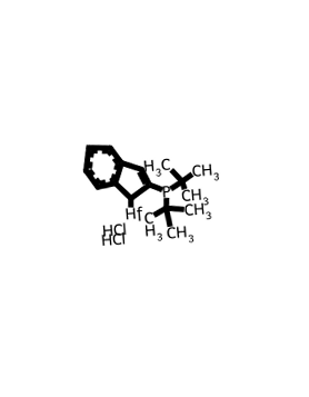 CC(C)(C)P(C1=Cc2ccccc2[CH]1[Hf])C(C)(C)C.Cl.Cl